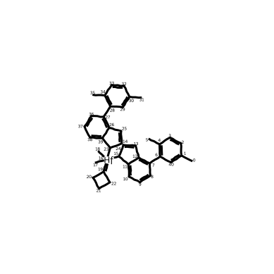 Cc1ccc(C)c(-c2cccc3c2C=C[CH]3[Hf]([CH3])([CH3])(=[C]2CCC2)[CH]2C=Cc3c(-c4cc(C)ccc4C)cccc32)c1